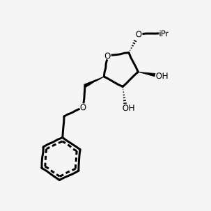 CC(C)O[C@H]1O[C@H](COCc2ccccc2)[C@@H](O)[C@@H]1O